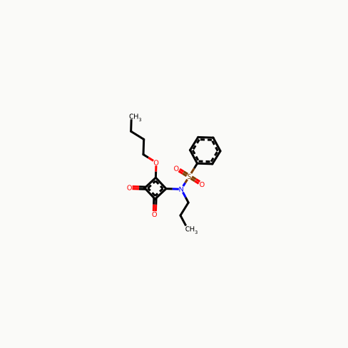 CCCCOc1c(N(CCC)S(=O)(=O)c2ccccc2)c(=O)c1=O